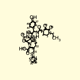 CCN1CCN(C(=O)NC(C(=O)N[C@]2(NC=O)C(=O)N3C(C(=O)O)=C(CSc4nncs4)CS[C@@H]32)c2ccc(O)cc2)C(=O)C1=O